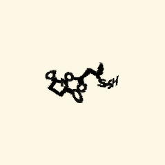 CC(CC(=O)ON1C(=O)CCC1=O)SS